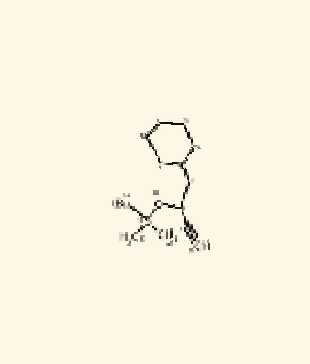 C#C[C@H](CC1CCCCC1)O[Si](C)(C)C(C)(C)C